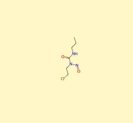 CCCNC(=O)N(CCCl)N=O